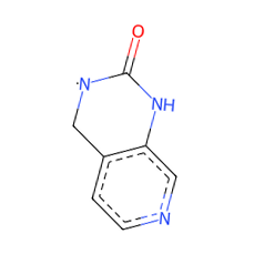 O=C1[N]Cc2ccncc2N1